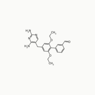 CCOc1cc(Cc2cnc(N)nc2N)cc(OCC)c1-c1cccc(C=O)c1